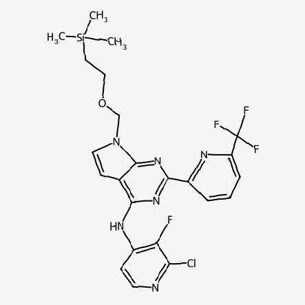 C[Si](C)(C)CCOCn1ccc2c(Nc3ccnc(Cl)c3F)nc(-c3cccc(C(F)(F)F)n3)nc21